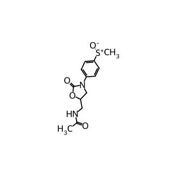 CC(=O)NCC1CN(c2ccc([S+](C)[O-])cc2)C(=O)O1